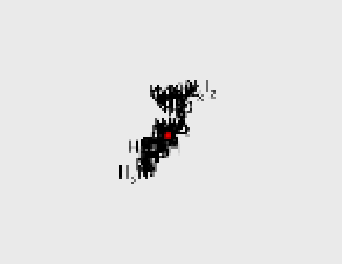 CC(C)[C@H](NC(=O)CCN1C(=O)C=CC1=O)C(=O)N[C@@H](CCCNC(N)=O)C(=O)Nc1ccc(COC(=O)NCC(=O)N2CCC[C@@H]2C(=O)O[C@@H]2[C@@H]3O[P@](=O)(S)OC[C@H]4O[C@@H](n5cnc6c(N)ncnc65)[C@H](F)[C@@H]4O[P@@](=O)(S)OC[C@H]3O[C@H]2n2cnc3c(N)ncnc32)cc1